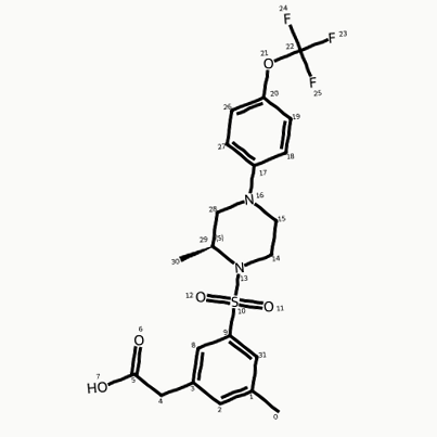 Cc1cc(CC(=O)O)cc(S(=O)(=O)N2CCN(c3ccc(OC(F)(F)F)cc3)C[C@@H]2C)c1